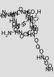 N=C(N)NCCC[C@@H]1NC(=O)[C@@H]2CSSC[C@H](NC(=O)[C@H](CC(=O)O)NC(=O)CNC1=O)C(=O)N[C@@H](Cc1ccccc1)C(=O)N[C@H](C(=O)NCCOCCOCCOCCNC(=O)COCC(N)=O)CSCC(=O)N[C@@H](CCCCN)C(=O)N2